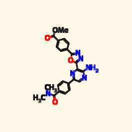 COC(=O)c1ccc(-c2nnc(-c3nc(-c4ccc(C(=O)N(C)C)cc4)cnc3N)o2)cc1